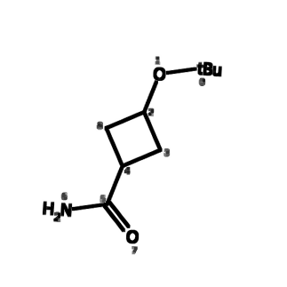 CC(C)(C)OC1CC(C(N)=O)C1